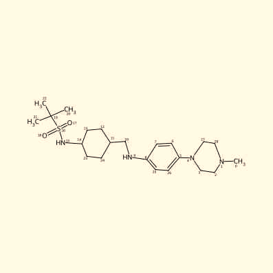 CN1CCN(c2ccc(NCC3CCC(NS(=O)(=O)C(C)(C)C)CC3)cc2)CC1